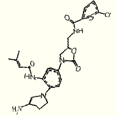 CC(C)=CC(=O)Nc1cc(N2CC(CNC(=O)c3ccc(Cl)s3)OC2=O)ccc1N1CCC(N)C1